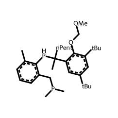 CCCCCC(C)(Pc1c(C)cccc1CP(C)C)c1cc(C(C)(C)C)cc(C(C)(C)C)c1OCOC